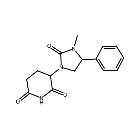 CN1C(=O)N(C2CCC(=O)NC2=O)CC1c1ccccc1